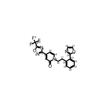 O=c1cc(-c2noc(C(F)(F)F)n2)ccn1CCc1ccccc1-c1ncco1